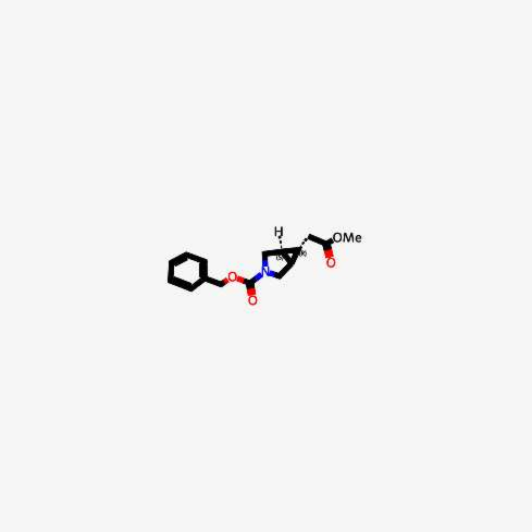 COC(=O)C[C@@H]1C2CN(C(=O)OCc3ccccc3)C[C@H]21